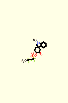 CN1CC2(CCC(OS(=O)(=O)C(F)(F)C(F)(F)C(F)(F)C(F)(F)F)C(=O)C2)c2ccccc21